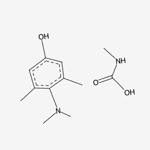 CNC(=O)O.Cc1cc(O)cc(C)c1N(C)C